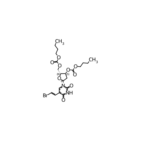 CCCCOC(=O)OC[C@H]1O[C@@H](n2cc(C=CBr)c(=O)[nH]c2=O)C[C@@H]1OC(=O)OCCCC